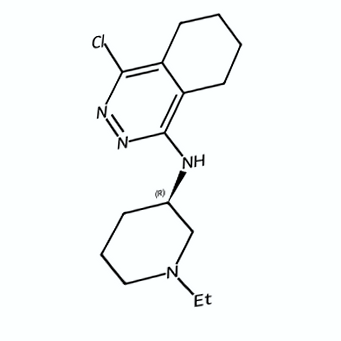 CCN1CCC[C@@H](Nc2nnc(Cl)c3c2CCCC3)C1